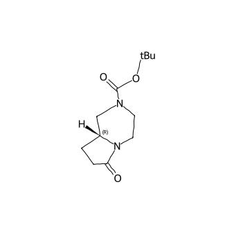 CC(C)(C)OC(=O)N1CCN2C(=O)CC[C@@H]2C1